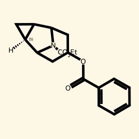 CCOC(=O)N1C2CC(OC(=O)c3ccccc3)CC1[C@H]1CC21